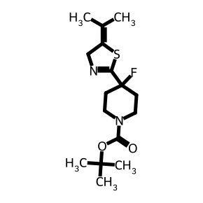 CC(C)=C1CN=C(C2(F)CCN(C(=O)OC(C)(C)C)CC2)S1